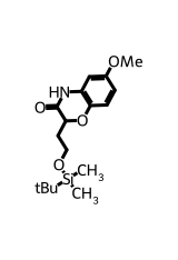 COc1ccc2c(c1)NC(=O)C(CCO[Si](C)(C)C(C)(C)C)O2